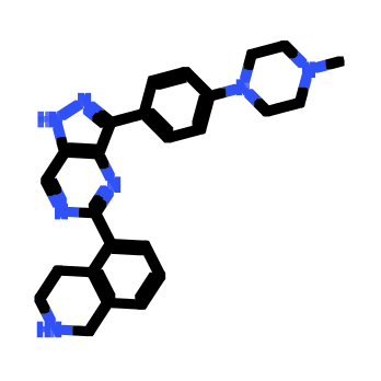 CN1CCN(c2ccc(-c3n[nH]c4cnc(-c5cccc6c5CCNC6)nc34)cc2)CC1